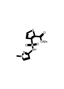 COC(=O)c1sccc1S(=O)(=O)Nc1ccn(C)n1